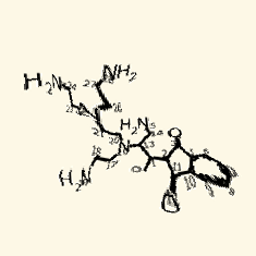 CC(C1C(=O)c2ccccc2C1=O)C(CN)N(CCN)CCN(CCN)CCN